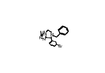 BrC1C=CC=C(C2c3nnnn3CCN2Cc2ccccc2)C1